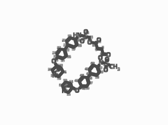 CS(=O)(=O)N(OC(=O)/C=C/C(=O)OCS(=O)(=O)Nc1ccc(-c2ccc(OC3CN4CCC3CC4)cc2)cc1)c1ccc(-c2ccc(OC3CN4CCC3CC4)cc2)cc1